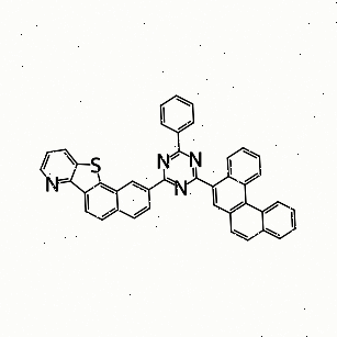 c1ccc(-c2nc(-c3ccc4ccc5c6ncccc6sc5c4c3)nc(-c3cc4ccc5ccccc5c4c4ccccc34)n2)cc1